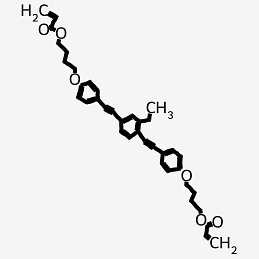 C=CC(=O)OCCCCOc1ccc(C#Cc2ccc(C#Cc3ccc(OCCCCOC(=O)C=C)cc3)c(CC)c2)cc1